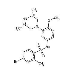 COc1ccc(NS(=O)(=O)c2ccc(Br)cc2C)cc1N1C[C@@H](C)N[C@@H](C)C1